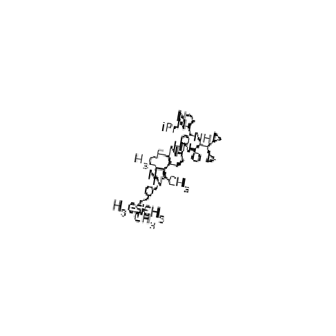 Cc1nn(COCC[Si](C)(C)C)c(C)c1-c1ccc(NC(=O)[C@@H](NC(=O)c2ccnn2C(C)C)C(C2CC2)C2CC2)nc1F